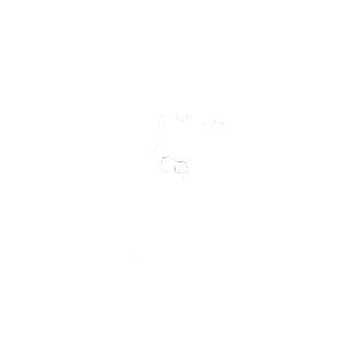 CNC(C)C(=O)NC(C(=O)N1CCN(C(=O)c2ccc3c(c2)cc(C)n3CCOCCOCCOCCO)CC1)C1CCCCC1